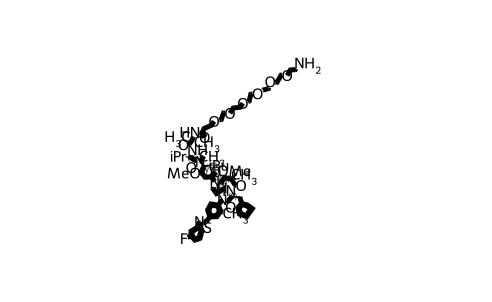 CC[C@H](C)[C@@H]([C@@H](CC(=O)N1CCC[C@H]1[C@H](OC)[C@@H](C)C(=O)N[C@@H](Cc1ccccc1)C(=O)Nc1ccc(-c2nc3cc(F)ccc3s2)cc1C)OC)N(C)C(=O)[C@@H](NC(=O)C(C)(C)NC(=O)CCOCCOCCOCCOCCOCCOCCN)C(C)C